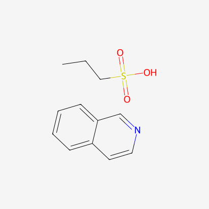 CCCS(=O)(=O)O.c1ccc2cnccc2c1